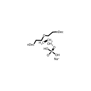 C=C.CCCCCCCCCCCCOCCCCCCCCCCCC.O.O=P([O-])(O)O.[Na+]